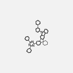 c1ccc(-c2cccc(-n3c4ccccc4c4cc5c(cc43)-c3cc(-c4nc(-c6ccccc6)nc(-c6ccccc6)n4)ccc3C53CCCCC3)c2)cc1